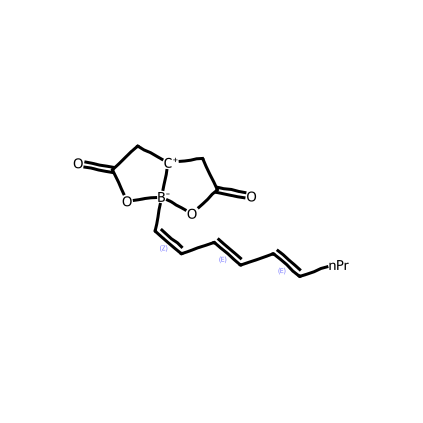 CCC/C=C/C=C/C=C\[B-]12OC(=O)C[C+]1CC(=O)O2